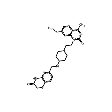 COc1ccc2c(C)nc(=O)n(CCN3CCC(NCc4ccc5c(n4)NC(=O)CS5)CC3)c2c1